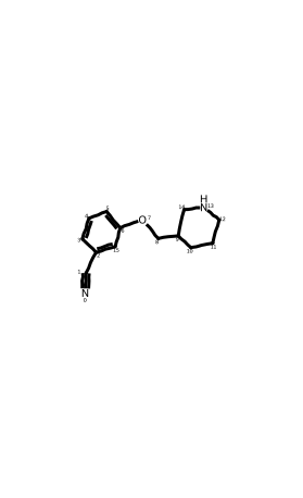 N#Cc1cccc(OCC2CCCNC2)c1